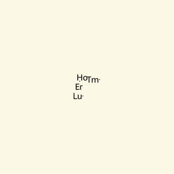 [Er].[Ho].[Lu].[Tm]